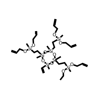 C=CCO[Si](C)(CC[Si]1(C)O[Si](C)(C=C)O[Si](C)(CC[Si](C)(OCC=C)OCC=C)O[Si](C)(CC[Si](C)(OCC=C)OCC=C)O1)OCC